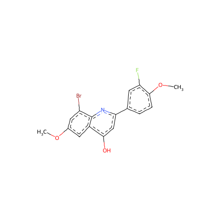 COc1cc(Br)c2nc(-c3ccc(OC)c(F)c3)cc(O)c2c1